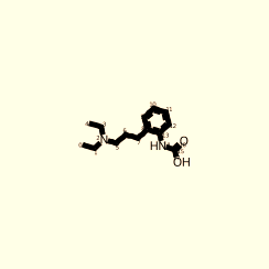 CCN(CC)CCCc1[c]cccc1NC(=O)O